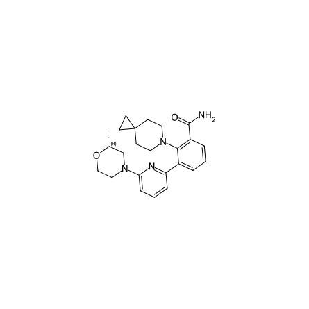 C[C@@H]1CN(c2cccc(-c3cccc(C(N)=O)c3N3CCC4(CC3)CC4)n2)CCO1